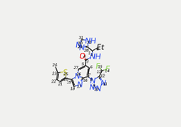 CCC(NC(=O)c1cc(-n2nnnc2C(F)F)c2ncc(-c3ccc(C)s3)n2c1)c1nnc[nH]1